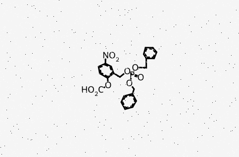 O=C(O)Oc1ccc([N+](=O)[O-])cc1COP(=O)(OCc1ccccc1)OCc1ccccc1